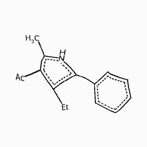 CCc1c(-c2ccccc2)[nH]c(C)c1C(C)=O